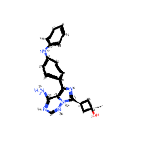 C[C@]1(O)C[C@@H](c2nc(-c3ccc(Nc4ccccc4)cc3)c3c(N)ncnn32)C1